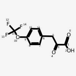 O=C(O)C(=O)Cc1ccc(OC(F)(F)F)cc1